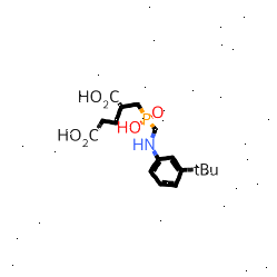 CC(C)(C)c1cccc(NCP(=O)(O)CC(CCC(=O)O)C(=O)O)c1